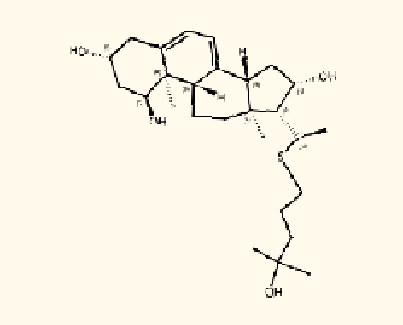 C[C@@H](SCCCC(C)(C)O)[C@H]1[C@@H](O)C[C@H]2C3=CC=C4C[C@@H](O)C[C@H](O)[C@]4(C)[C@H]3CC[C@]12C